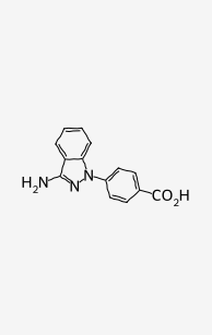 Nc1nn(-c2ccc(C(=O)O)cc2)c2ccccc12